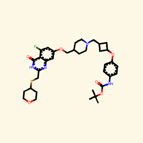 CC(C)(C)OC(=O)Nc1ccc(OC2CC(CN3CCC(COc4cc(F)c5c(=O)[nH]c(CSC6CCOCC6)nc5c4)CC3)C2)cc1